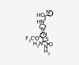 NC(=O)c1sc2nc(N3CCC(NCC(O)c4ccccn4)CC3)cc(OCC(F)(F)F)c2c1N